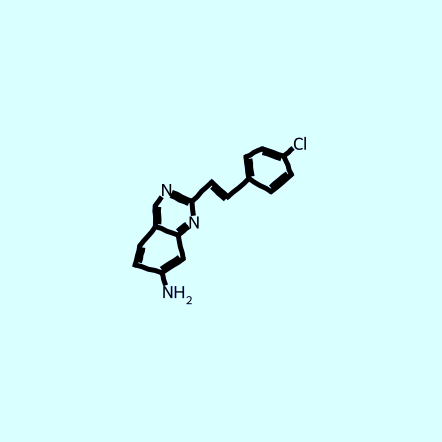 Nc1ccc2cnc(C=Cc3ccc(Cl)cc3)nc2c1